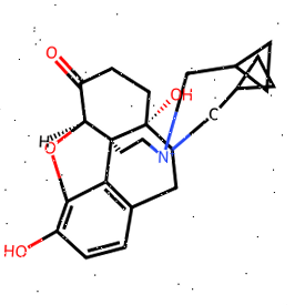 O=C1CC[C@@]2(O)C3Cc4ccc(O)c5c4[C@@]2(CC[N+]3(CC2CC2)CC2CC2)[C@H]1O5